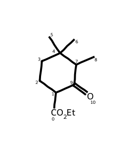 CCOC(=O)C1CCC(C)(C)C(C)C1=O